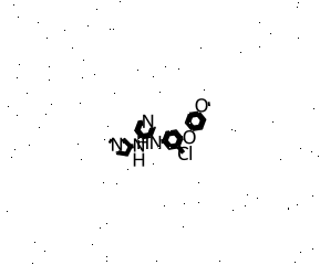 COc1ccc(Oc2ccc(Nc3cnccc3NC3CCN(C)C3)cc2Cl)cc1